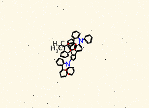 CC1(C)c2ccccc2C2(c3cc(N(c4ccccc4)c4ccccc4-c4ccccc4)ccc3-c3ccc(N(c4ccccc4)c4ccccc4-c4ccccc4)cc32)c2ccccc21